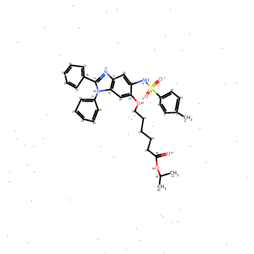 Cc1ccc(S(=O)(=O)Nc2cc3nc(-c4ccccc4)n(-c4ccccc4)c3cc2OCCCCCC(=O)OC(C)C)cc1